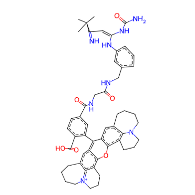 CC(C)(C)C(=N)/C=C(/NC(N)=O)Nc1cccc(CNC(=O)CNC(=O)c2ccc(C(=O)O)c(C3=c4cc5c6c(c4Oc4c3cc3c7c4CCCN7CCCC3)CCC[N+]=6CCCC5)c2)c1